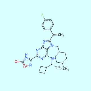 C=C(c1ccc(F)cc1)c1nc2nc(-c3noc(=O)[nH]3)nc(N[C@H](C)C3CCC3)c2n1CC1CCC(C)CC1